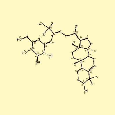 C[C@H](CC[C@@H](O[C@@H]1O[C@H](CO)[C@@H](O)[C@H](O)[C@H]1O)C(C)(C)O)C1CC[C@@]2(C)C3CC=C4C(CC[C@H](O)C4(C)C)[C@]3(C)CC[C@]12C